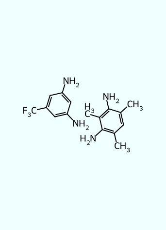 Cc1cc(C)c(N)c(C)c1N.Nc1cc(N)cc(C(F)(F)F)c1